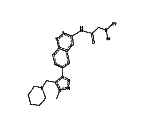 CCN(CC)CC(=O)Nc1cc2cc(-c3cnn(C)c3CN3CCCCC3)ccc2nn1